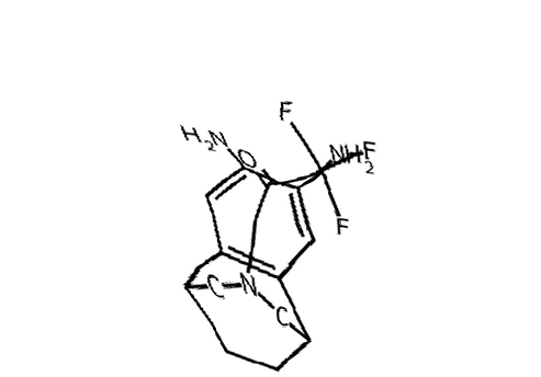 Nc1cc2c(cc1N)C1CCC2CN(C(=O)C(F)(F)F)C1